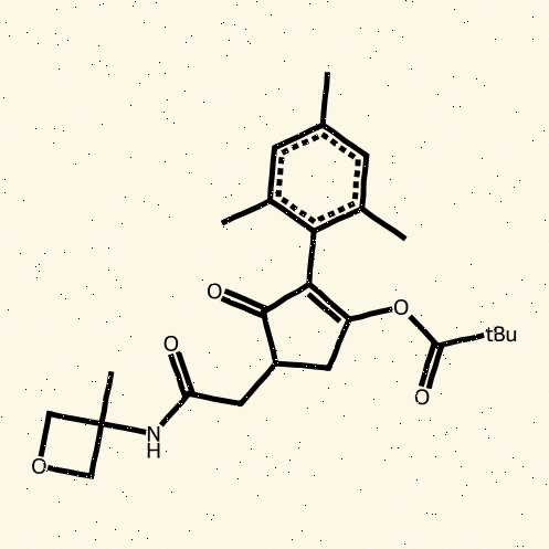 Cc1cc(C)c(C2=C(OC(=O)C(C)(C)C)CC(CC(=O)NC3(C)COC3)C2=O)c(C)c1